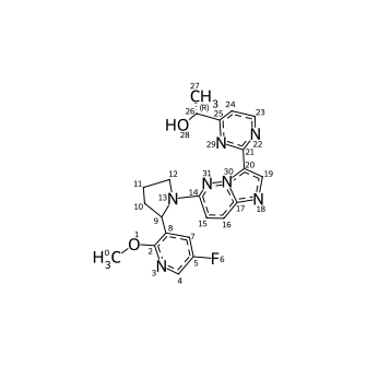 COc1ncc(F)cc1C1CCCN1c1ccc2ncc(-c3nccc([C@@H](C)O)n3)n2n1